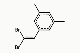 Cc1cc(C)cc(C=C(Br)Br)c1